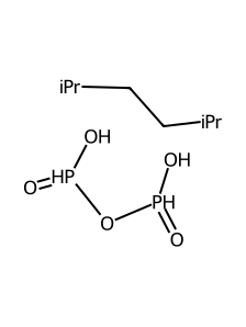 CC(C)CCC(C)C.O=[PH](O)O[PH](=O)O